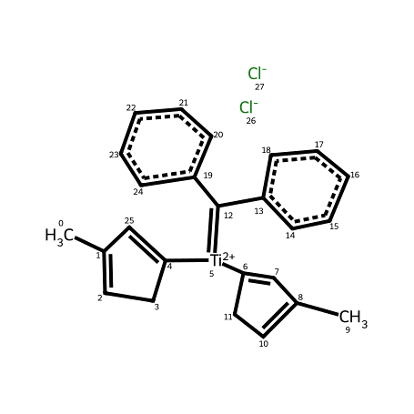 CC1=CC[C]([Ti+2]([C]2=CC(C)=CC2)=[C](c2ccccc2)c2ccccc2)=C1.[Cl-].[Cl-]